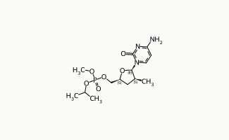 COP(=O)(OC[C@@H]1C[C@H](C)[C@H](n2ccc(N)nc2=O)O1)OC(C)C